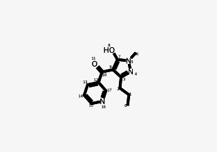 CCCc1nn(C)c(O)c1C(=O)c1cccnc1